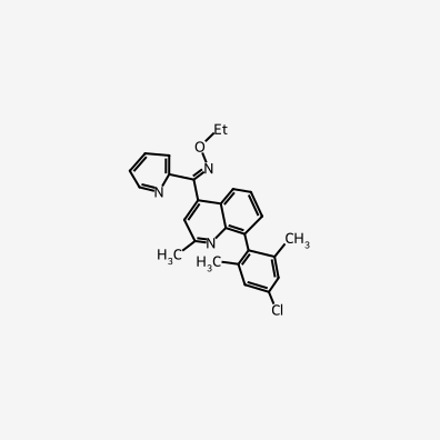 CCON=C(c1ccccn1)c1cc(C)nc2c(-c3c(C)cc(Cl)cc3C)cccc12